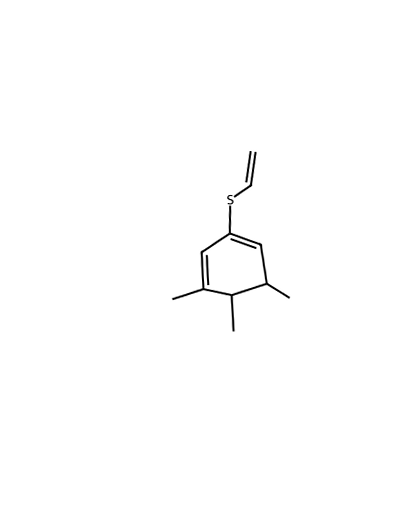 C=CSC1=CC(C)C(C)C(C)=C1